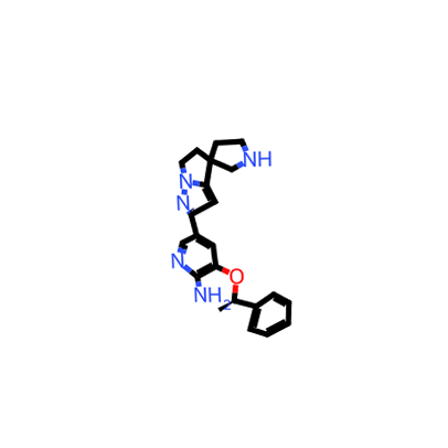 C[C@@H](Oc1cc(-c2cc3n(n2)CCC32CCNC2)cnc1N)c1ccccc1